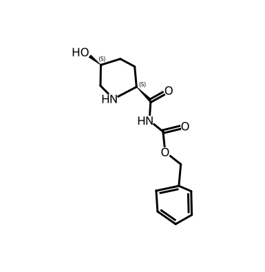 O=C(NC(=O)[C@@H]1CC[C@H](O)CN1)OCc1ccccc1